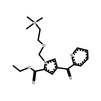 CCOC(=O)c1cc(C(=O)c2ccccn2)cn1COCC[Si](C)(C)C